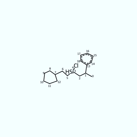 CC(C[SiH](Cl)CCC1CCCCC1)c1ccccc1